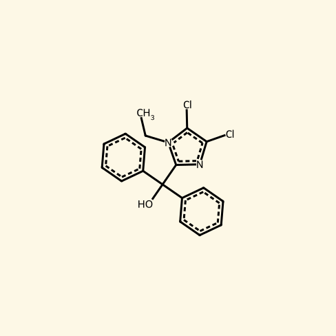 CCn1c(C(O)(c2ccccc2)c2ccccc2)nc(Cl)c1Cl